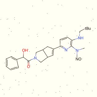 CN(N=O)c1nc(C2=CC3CN(C(=O)C(O)c4ccccc4)CC3C2)ccc1NCC(C)(C)C